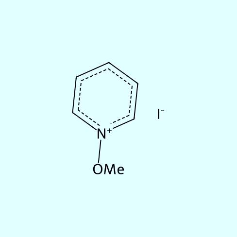 CO[n+]1ccccc1.[I-]